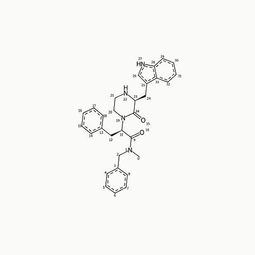 CN(Cc1ccccc1)C(=O)[C@@H](Cc1ccccc1)N1CCN[C@@H](Cc2c[nH]c3ccccc23)C1=O